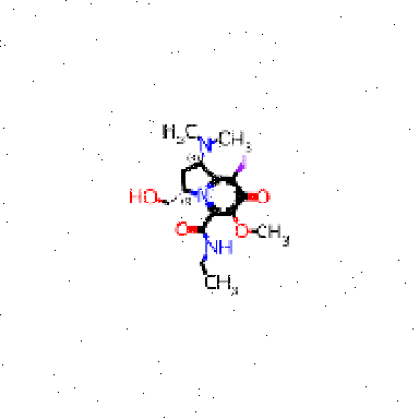 CCNC(=O)c1c(OC)c(=O)c(I)c2n1[C@H](CO)C[C@H]2N(C)C